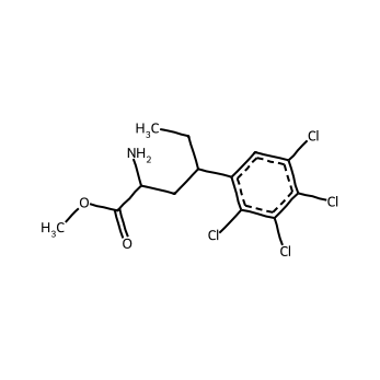 CCC(CC(N)C(=O)OC)c1cc(Cl)c(Cl)c(Cl)c1Cl